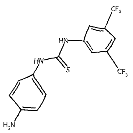 Nc1ccc(NC(=S)Nc2cc(C(F)(F)F)cc(C(F)(F)F)c2)cc1